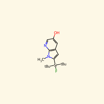 Cn1c([Si](F)(C(C)(C)C)C(C)(C)C)cc2cc(O)cnc21